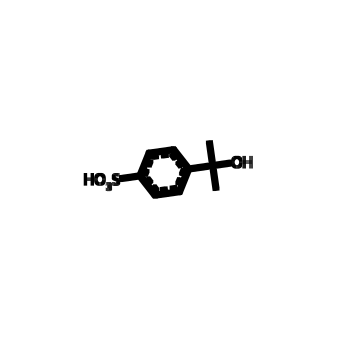 CC(C)(O)c1ccc(S(=O)(=O)O)cc1